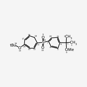 COC(C)(C)c1ccc(S(=O)(=O)C2=CC=C(OC(C)(C)C)C=CC2)cc1